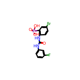 O=C(Nc1cccc(F)c1)Nc1ccc(Br)cc1P(=O)(O)O